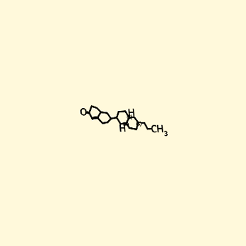 CCC[C@H]1CC[C@@H]2CC(C3CCC4=CC(=O)CCC4C3)CC[C@H]2C1